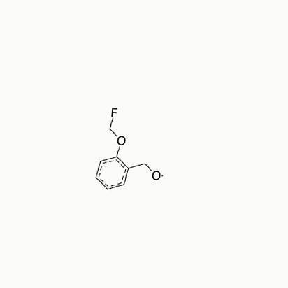 [O]Cc1ccccc1OCF